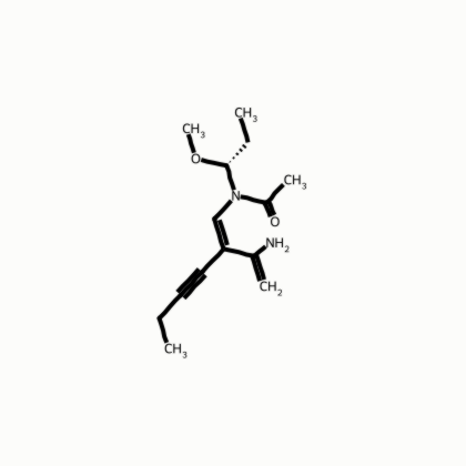 C=C(N)/C(C#CCC)=C\N(C(C)=O)[C@@H](CC)OC